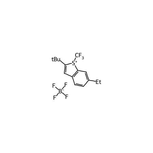 CCc1ccc2cc(C(C)(C)C)[s+](C(F)(F)F)c2c1.F[B-](F)(F)F